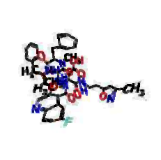 CN[C@@H](CC(C)C)C(=O)N(C)[C@H](Cc1ccccc1)C(=O)N[C@@H](COc1cnc2ccc(F)cc2c1C(=O)N[C@@H](CC(=O)O)C(=O)NCCc1cc(C)no1)Cc1ccccc1